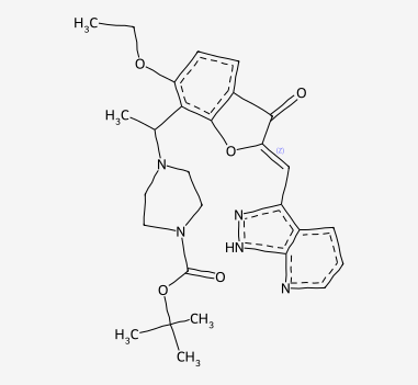 CCOc1ccc2c(c1C(C)N1CCN(C(=O)OC(C)(C)C)CC1)O/C(=C\c1n[nH]c3ncccc13)C2=O